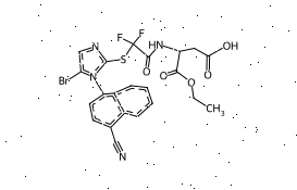 CCOC(=O)C(CC(=O)O)NC(=O)C(F)(F)Sc1ncc(Br)n1-c1ccc(C#N)c2ccccc12